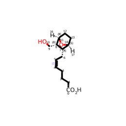 O=C(O)CCC/C=C\C[C@@H]1[C@H](CO)[C@H]2CC[C@@H]1O2